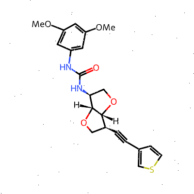 COc1cc(NC(=O)N[C@H]2CO[C@H]3[C@@H]2OC[C@@H]3C#Cc2ccsc2)cc(OC)c1